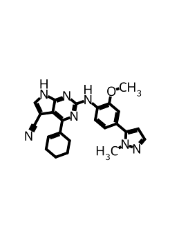 COc1cc(-c2ccnn2C)ccc1Nc1nc(C2=CCCCC2)c2c(C#N)c[nH]c2n1